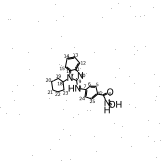 O=C(NO)c1ccc(Nc2nc3ccccc3n2C2CCCCC2)cc1